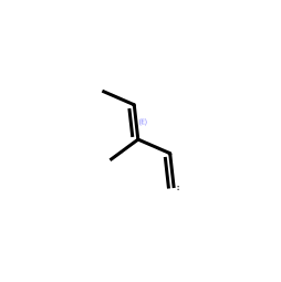 [C]=C/C(C)=C/C